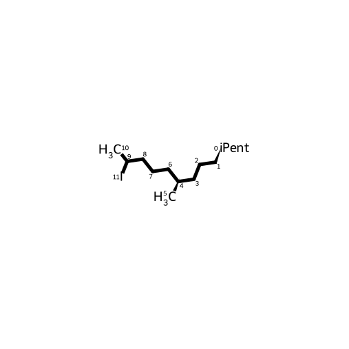 CCC[C@H](C)CCC[C@@H](C)CCCC(C)I